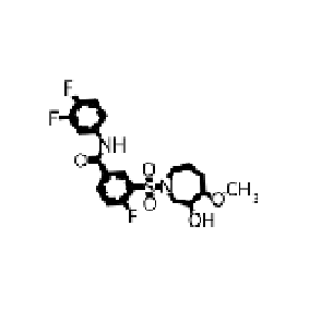 COC1CCCN(S(=O)(=O)c2cc(C(=O)Nc3ccc(F)c(F)c3)ccc2F)CC1O